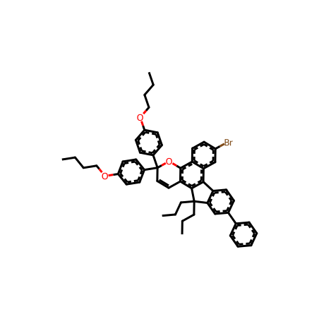 CCCCOc1ccc(C2(c3ccc(OCCCC)cc3)C=Cc3c4c(c5cc(Br)ccc5c3O2)-c2ccc(-c3ccccc3)cc2C4(CCC)CCC)cc1